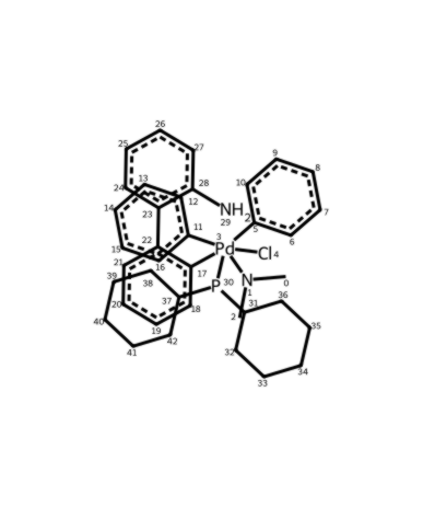 C[N](C)[Pd]([Cl])([c]1ccccc1)([c]1ccccc1)([c]1ccccc1-c1ccccc1N)[P](C1CCCCC1)C1CCCCC1